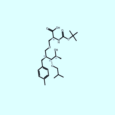 Cc1ccc(C[C@@H](COC[C@H](NC(=O)OC(C)(C)C)C(=O)O)[C@@H](OCC(C)C)[C@H](C)O)cc1